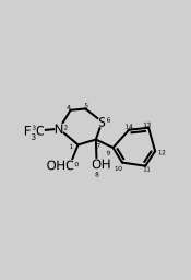 O=CC1N(C(F)(F)F)CCSC1(O)c1ccccc1